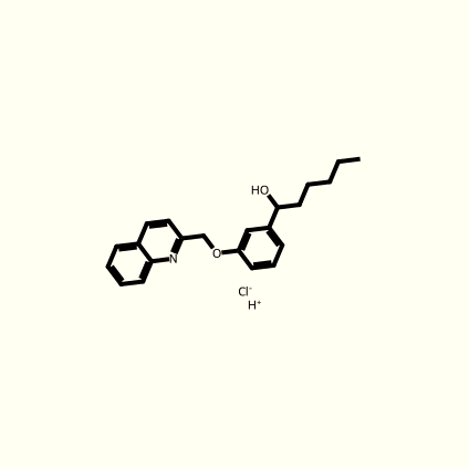 CCCCCC(O)c1cccc(OCc2ccc3ccccc3n2)c1.[Cl-].[H+]